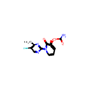 Cc1nc(-n2cccc(OC(N)=O)c2=O)ncc1F